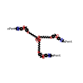 C=C(C(=O)Oc1ccc(-c2ncc(CCCCC)cn2)cc1)c1ccc(OCCCCCCCCCC(=O)OC(CC)(OC(=O)CCCCCCCCCOc2ccc(C(=C)C(=O)Oc3ccc(-c4ncc(CCCCC)cn4)cc3)cc2)OC(=O)CCCCCCCCCOc2ccc(C(=C)C(=O)Oc3ccc(-c4ncc(CCCCC)cn4)cc3)cc2)cc1